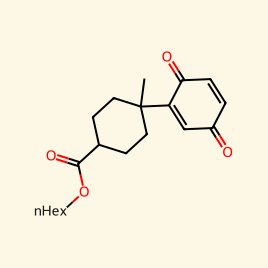 CCCCCCOC(=O)C1CCC(C)(C2=CC(=O)C=CC2=O)CC1